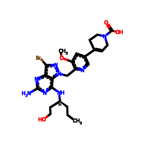 CCC[C@@H](CCO)Nc1nc(N)nc2c(Br)nn(Cc3ncc(C4=CCN(C(=O)O)CC4)cc3OC)c12